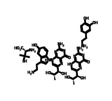 CC(C)(S)[C@@H](N)C(=O)O.C[C@H](O)[C@H](O)c1c[nH]c2nc(N)nc(=O)c-2n1.C[C@H](O)[C@H](O)c1c[nH]c2nc(N)nc(=O)c-2n1.NCCc1c[nH]c2ccc(O)cc12.NCCc1ccc(O)c(O)c1